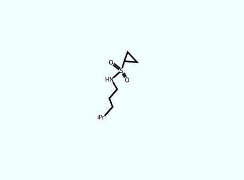 CC(C)CCCNS(=O)(=O)C1CC1